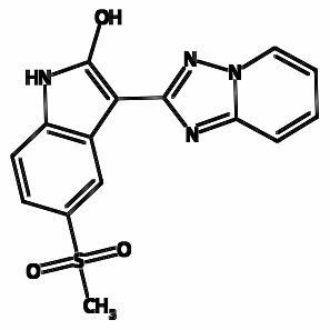 CS(=O)(=O)c1ccc2[nH]c(O)c(-c3nc4ccccn4n3)c2c1